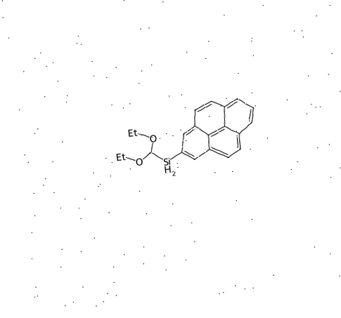 CCOC(OCC)[SiH2]c1cc2ccc3cccc4ccc(c1)c2c34